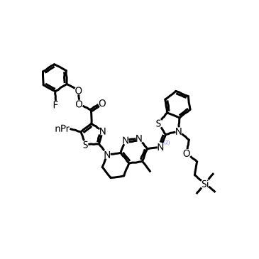 CCCc1sc(N2CCCc3c2nnc(/N=c2\sc4ccccc4n2COCC[Si](C)(C)C)c3C)nc1C(=O)OOc1ccccc1F